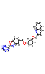 c1cc(OCc2ccc3oc(-c4nnn[nH]4)nc3c2)cc(OCc2ccc3ccccc3n2)c1